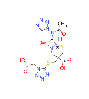 CC(=O)N(C1C(=O)N2CC(CSc3nnnn3CC(=O)O)(C(=O)O)CS[C@H]12)n1cnnn1